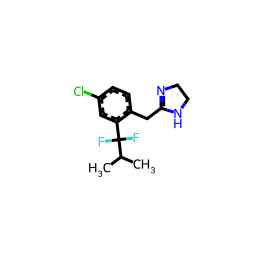 CC(C)C(F)(F)c1cc(Cl)ccc1CC1=NCCN1